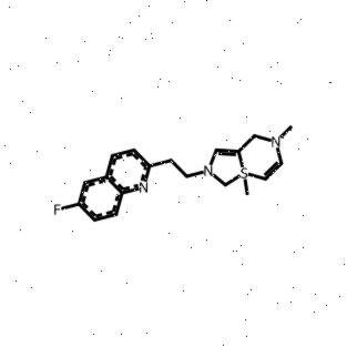 CN1C=CS2(C)CN(CCc3ccc4cc(F)ccc4n3)C=C2C1